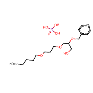 CCCCCCCCCCCCCCOCCCOCC(CO)OCc1ccccc1.O=P(O)(O)O